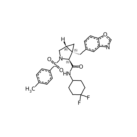 Cc1ccc(S(=O)(=O)N2C[C@@H]3C[C@@]3(Cc3ccc4ocnc4c3)[C@H]2C(=O)NC2CCC(F)(F)CC2)cc1